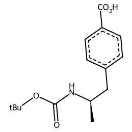 C[C@H](Cc1ccc(C(=O)O)cc1)NC(=O)OC(C)(C)C